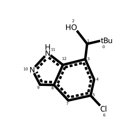 CC(C)(C)C(O)c1cc(Cl)cc2cn[nH]c12